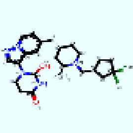 C[C@H]1C[C@H](Cc2ccn3ncc(N4CCC(=O)NC4O)c3c2)CCN1C[C@H]1CCC(F)(F)C1